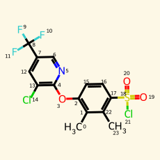 Cc1c(Oc2ncc(C(F)(F)F)cc2Cl)ccc(S(=O)(=O)Cl)c1C